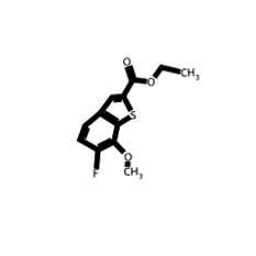 CCOC(=O)c1cc2ccc(F)c(OC)c2s1